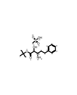 CC(C)(C)OC(=O)C(O)[C@H](N)CCc1ccccc1.CS(=O)(=O)O